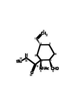 C=C[C@@H]1CC[C@@H](C=O)[C@](NC(C)=O)(C(=O)NC(C)(C)C)C1